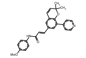 COc1ccc(NC(=O)C=Cc2cc3c(c(-c4ccncc4)c2)OC(C)(C)C=C3)cc1